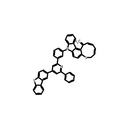 C=C1/C=C\C=C/CSc2ccc3c(c21)c1ccccc1n3-c1cccc(-c2cc(-c3ccc4sc5ccccc5c4c3)cc(-c3ccccc3)n2)c1